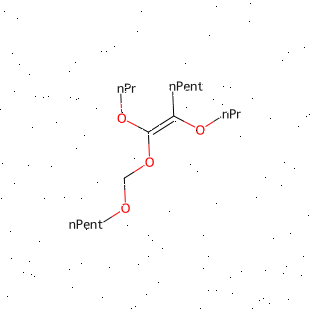 CCCCCOCO/C(OCCC)=C(/CCCCC)OCCC